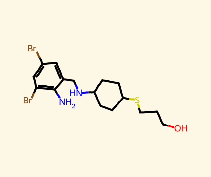 Nc1c(Br)cc(Br)cc1CNC1CCC(SCCCO)CC1